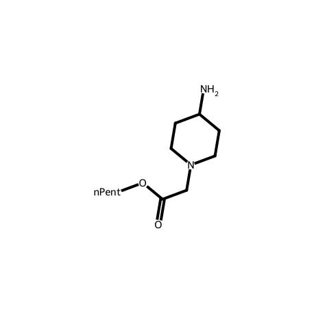 CCCCCOC(=O)CN1CCC(N)CC1